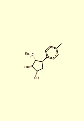 CCOC(=O)[C@H]1C(=O)N(O)C[C@@H]1c1ccc(C)cc1